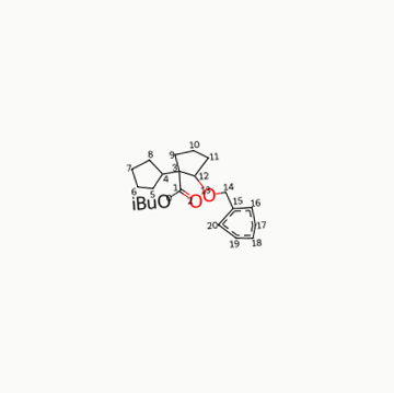 CC(C)COC(=O)C1(C2CCCC2)CCCC1OCc1ccccc1